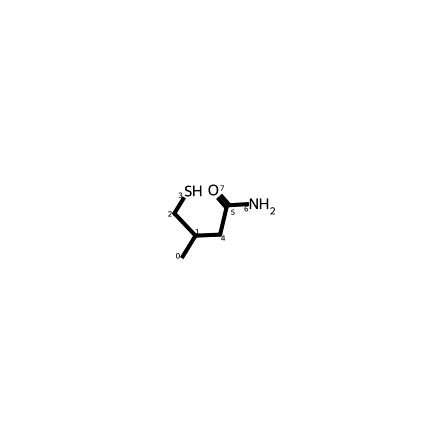 CC(CS)CC(N)=O